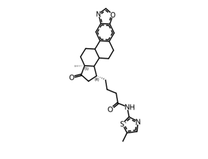 Cc1cnc(NC(=O)CCC[C@@H]2CC(=O)[C@@]3(C)CCC4c5cc6ncoc6cc5CCC4C23)s1